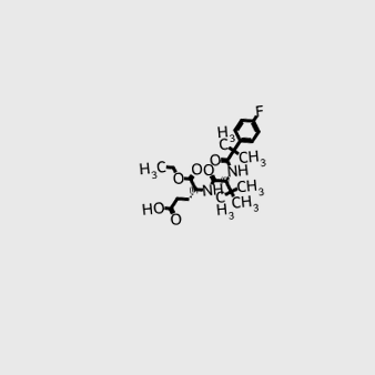 CCOC(=O)[C@@H](CCC(=O)O)NC(=O)[C@@H](NC(=O)C(C)(C)c1ccc(F)cc1)C(C)(C)C